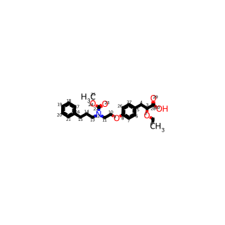 CCOC(Cc1ccc(OCCN(CCCc2ccccc2)C(=O)OC)cc1)C(=O)O